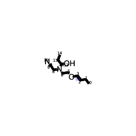 CC/C=C/OCCN(CC#N)C(O)CC